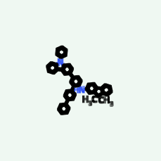 CC1(C)c2ccccc2-c2ccc(Nc3ccc(-c4ccc5c(c4)c4ccccc4n5-c4ccccc4)cc3-c3ccc(-c4ccccc4)cc3)cc21